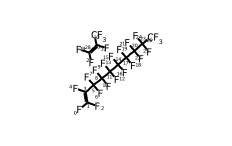 FC(F)=C(F)C(F)(F)C(F)(F)C(F)(F)C(F)(F)C(F)(F)C(F)(F)C(F)(F)C(F)(F)F.FC(F)=C(F)C(F)(F)F